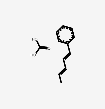 CC=CC=Cc1ccccc1.O=C(O)O